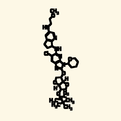 COCCNc1cnc2c(c1)CCC2Nc1nc2c(cc1Cl)nc(O[C@@H]1CO[C@H]3[C@@H]1OC[C@H]3O[Si](C)(C)C(C)(C)C)n2C1CCCCO1